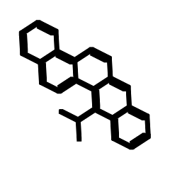 CC(C)c1c2ccccc2cc2ccc3c4ccccc4ccc3c12